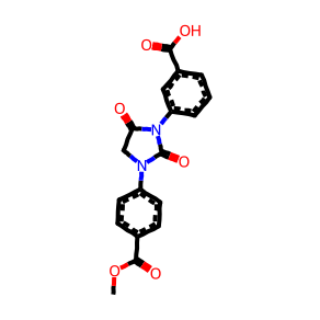 COC(=O)c1ccc(N2CC(=O)N(c3cccc(C(=O)O)c3)C2=O)cc1